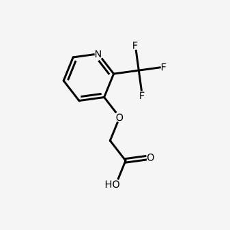 O=C(O)COc1cccnc1C(F)(F)F